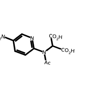 CC(=O)N(c1ccc(N)cn1)C(C(=O)O)C(=O)O